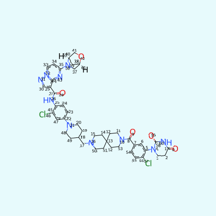 O=C1CCN(c2cc(C(=O)N3CCC4(CCN(CC5CCN(c6ccc(NC(=O)c7cnn8ccc(N9C[C@H]%10C[C@@H]9CO%10)nc78)c(Cl)c6)CC5)CC4)CC3)ccc2Cl)C(=O)N1